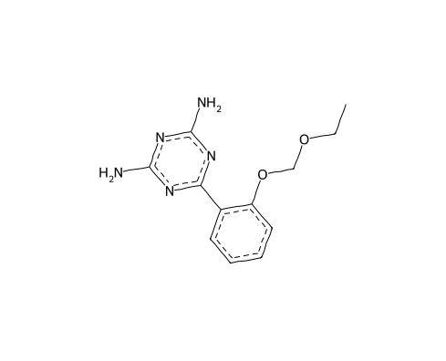 CCOCOc1ccccc1-c1nc(N)nc(N)n1